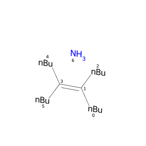 CCCCC(CCCC)=C(CCCC)CCCC.N